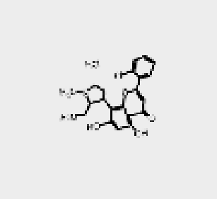 CC(=O)OCC1C(c2c(O)cc(O)c3c(=O)cc(-c4ccccc4Cl)oc23)CCN1C.Cl